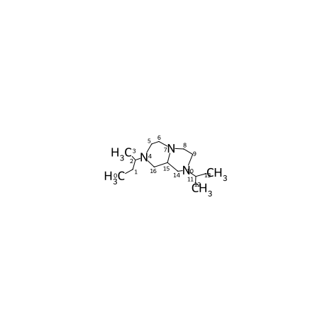 CCC(C)N1CCN2CCN(C(C)C)CC2C1